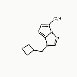 O=C(O)c1cnc2n(CC3CCC3)cnn12